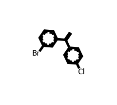 C=C(c1ccc(Cl)cc1)c1cccc(Br)c1